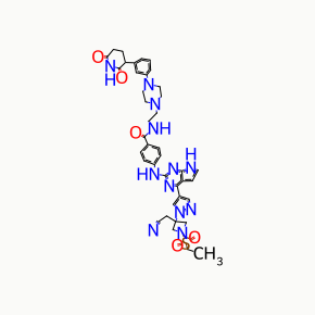 CCS(=O)(=O)N1CC(CC#N)(n2cc(-c3nc(Nc4ccc(C(=O)NCCN5CCN(c6cccc(C7CCC(=O)NC7=O)c6)CC5)cc4)nc4[nH]ccc34)cn2)C1